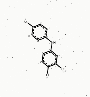 CC(=O)c1cnc(Nc2ccc(Cl)c(C(F)(F)F)c2)cn1